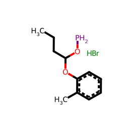 Br.CCCC(OP)Oc1ccccc1C